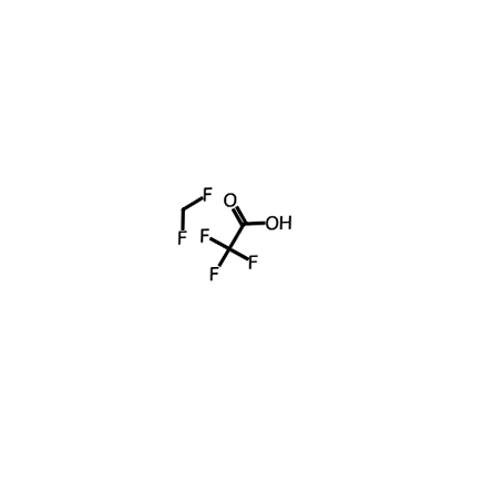 FCF.O=C(O)C(F)(F)F